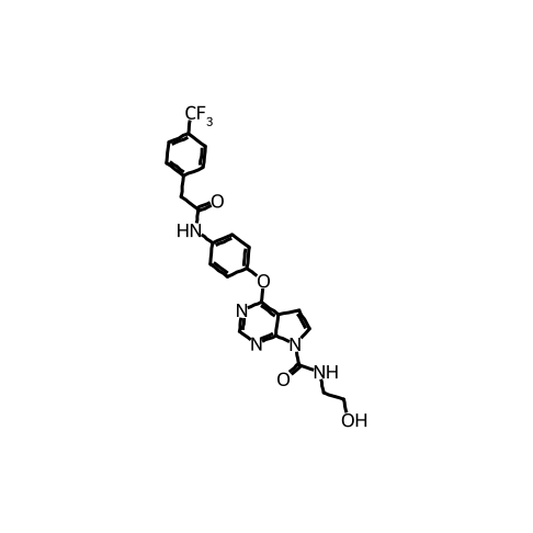 O=C(Cc1ccc(C(F)(F)F)cc1)Nc1ccc(Oc2ncnc3c2ccn3C(=O)NCCO)cc1